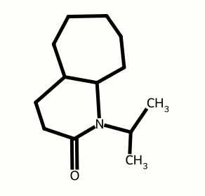 CC(C)N1C(=O)CCC2CCCCCC21